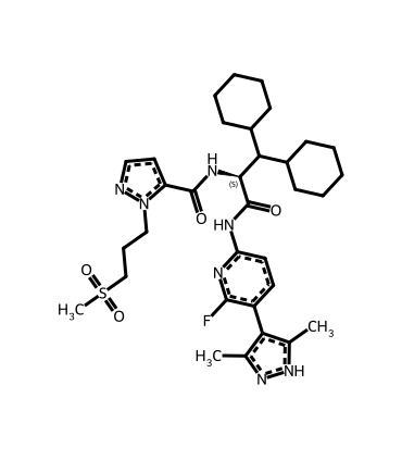 Cc1n[nH]c(C)c1-c1ccc(NC(=O)[C@@H](NC(=O)c2ccnn2CCCS(C)(=O)=O)C(C2CCCCC2)C2CCCCC2)nc1F